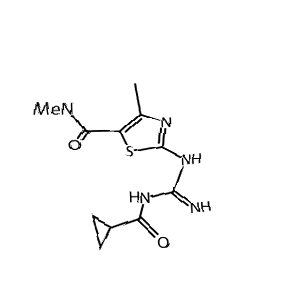 CNC(=O)c1sc(NC(=N)NC(=O)C2CC2)nc1C